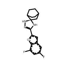 Fc1cc(F)c2oc(C3=NN[C@@]4(CC5CCC4CC5)N3)cc2c1